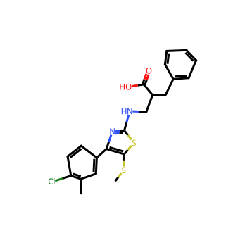 CSc1sc(NCC(Cc2ccccc2)C(=O)O)nc1-c1ccc(Cl)c(C)c1